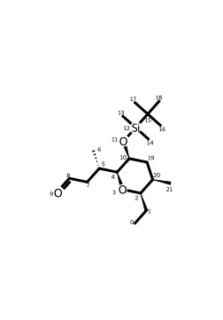 CC[C@H]1O[C@@H]([C@@H](C)CC=O)[C@@H](O[Si](C)(C)C(C)(C)C)C[C@H]1C